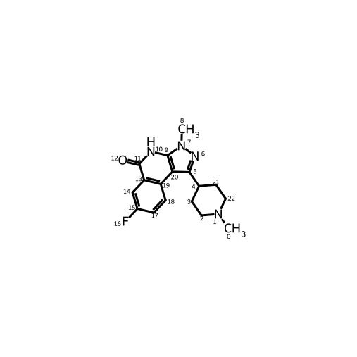 CN1CCC(c2nn(C)c3[nH]c(=O)c4cc(F)ccc4c23)CC1